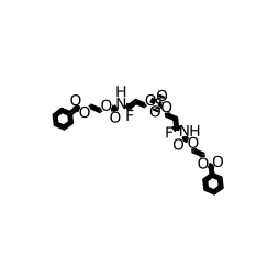 O=C(NC(F)CCOS(=O)(=O)OCCC(F)NC(=O)OCCOC(=O)C1CCCCC1)OCCOC(=O)C1CCCCC1